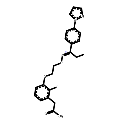 CC/C(=N\OCCOc1cccc(CC(=O)O)c1F)c1ccc(-n2cccn2)cc1